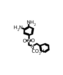 Nc1ccc(S(=O)(=O)CN(Cc2ccccc2)C(=O)O)cc1N